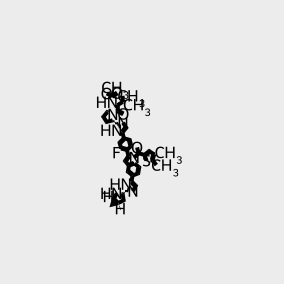 COC(=O)NC(C(=O)N1CCC[C@H]1c1ncc(-c2cc(F)c3c(c2)OC(c2cc(C)c(C)s2)n2c-3cc3cc(-c4cnc([C@@H]5C[C@H]6C[C@H]6N5)[nH]4)ccc32)[nH]1)C(C)C